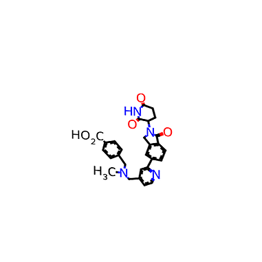 CN(Cc1ccc(C(=O)O)cc1)Cc1ccnc(-c2ccc3c(c2)CN(C2CCC(=O)NC2=O)C3=O)c1